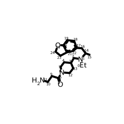 CCN(CC1CCN(C(=O)CCN)CC1)C(C)Cc1ccc2c(c1)CCO2